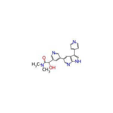 CN(C)C(=O)C(O)c1cncc(-c2cnc3[nH]cc(-c4ccncc4)c3c2)c1